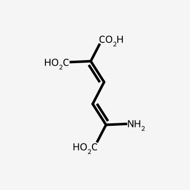 N/C(=C\C=C(C(=O)O)C(=O)O)C(=O)O